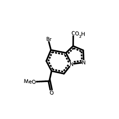 COC(=O)c1cc(Br)c2c(C(=O)O)cnn2c1